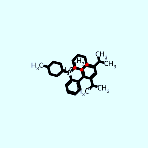 CC1CCC(P(c2ccccc2-c2c(C(C)C)cc(C(C)C)cc2C(C)C)C2CCCCC2)CC1